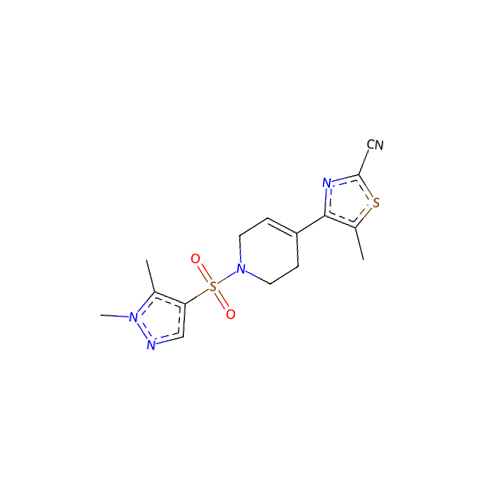 Cc1sc(C#N)nc1C1=CCN(S(=O)(=O)c2cnn(C)c2C)CC1